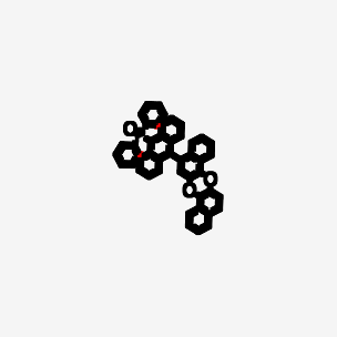 O=P(c1ccccc1)(c1ccccc1)c1c2ccccc2c(-c2cc3c(c4ccccc24)Oc2ccc4ccccc4c2O3)c2ccccc12